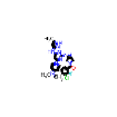 Cc1cc(Nc2cc(N3CCC(N(C)C)CC3)nc(N[C@H]3CCN(C(=O)c4cccc(Cl)c4F)C3)n2)n[nH]1